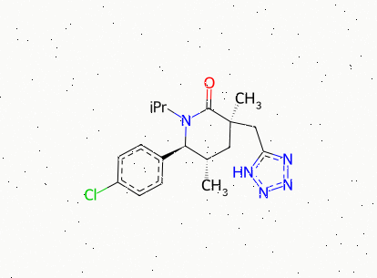 CC(C)N1C(=O)[C@@](C)(Cc2nnn[nH]2)C[C@H](C)[C@H]1c1ccc(Cl)cc1